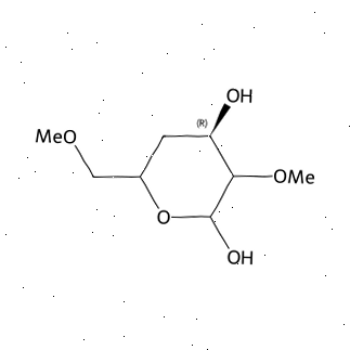 COCC1C[C@@H](O)C(OC)C(O)O1